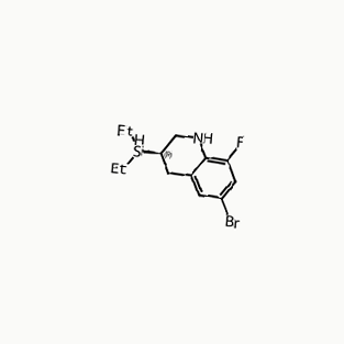 CC[SiH](CC)[C@H]1CNc2c(F)cc(Br)cc2C1